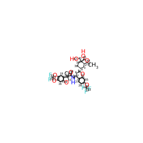 CCC1CC([C@H]2C[C@@H](NC(=O)[C@@]3(C)COc4cc5c(cc43)OC(F)(F)O5)c3ccc(OC(F)(F)F)cc3O2)CCC1(CO)C(=O)O